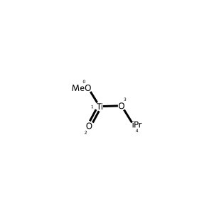 C[O][Ti](=[O])[O]C(C)C